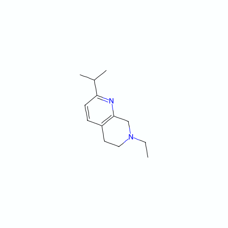 CCN1CCc2ccc(C(C)C)nc2C1